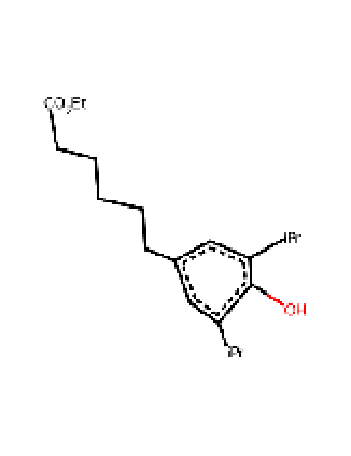 CCOC(=O)CCCCCc1cc(C(C)C)c(O)c(C(C)C)c1